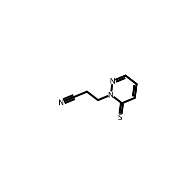 N#CCCn1ncccc1=S